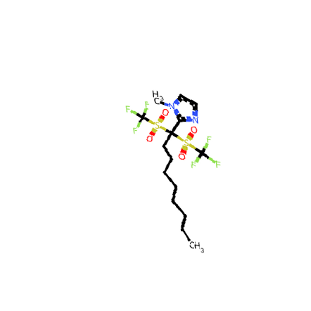 CCCCCCCCC(c1nccn1C)(S(=O)(=O)C(F)(F)F)S(=O)(=O)C(F)(F)F